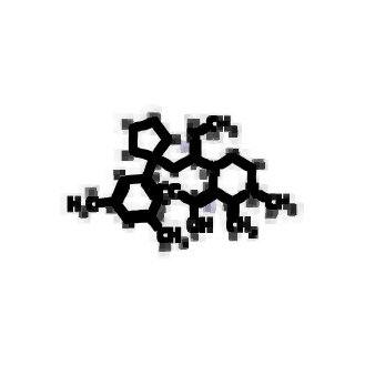 C=C1/C(=C(/C)O)N(/C(CC2(c3cc(C)cc(C)c3)CCCC2)=N\C)CCN1C